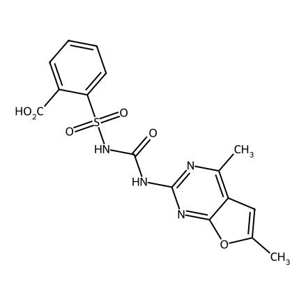 Cc1cc2c(C)nc(NC(=O)NS(=O)(=O)c3ccccc3C(=O)O)nc2o1